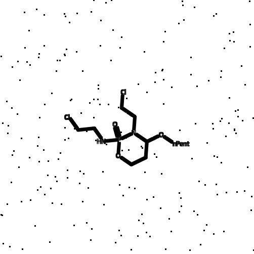 CCCCCOC1CCOP(=O)(NCCCl)N1CCCl